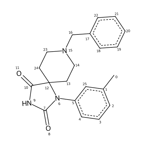 Cc1cccc(N2C(=O)NC(=O)C23CCN(Cc2ccccc2)CC3)c1